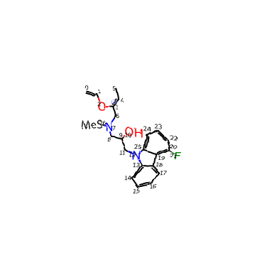 C=CO/C(=C\C)CN(CC(O)Cn1c2ccccc2c2c(F)cccc21)SC